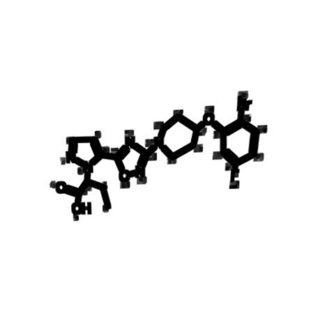 CCC(C(=O)O)n1nccc1-c1nc(N2CCC(Oc3cc(F)ccc3Br)CC2)no1